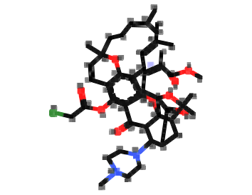 COC(=O)/C(C)=C\CC12OC(C)(C)C3CC(C1=O)C(N1CCN(C)CC1)C1C(=O)c4c(OC(=O)CCl)c5c(c(CC=C(C)C)c4OC132)OC(C)(CCC=C(C)C)C=C5